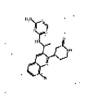 CC(Nc1ncnc(N)n1)c1cc2cccc(Br)c2nc1N1CCNC(=O)C1